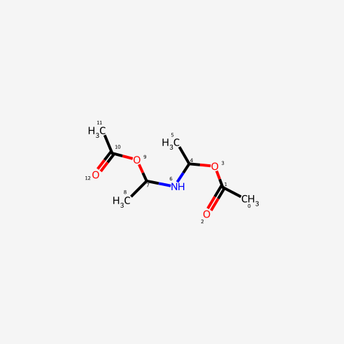 CC(=O)OC(C)NC(C)OC(C)=O